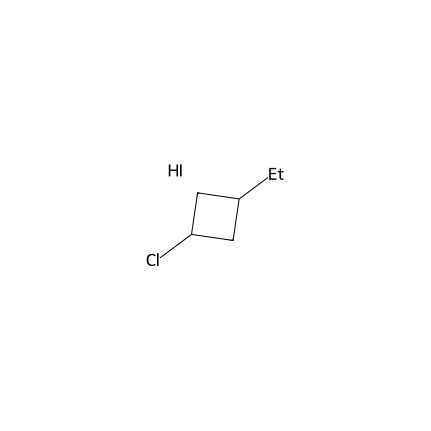 CCC1CC(Cl)C1.I